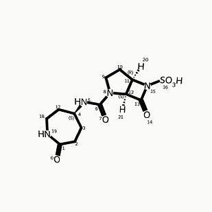 O=C1CC[C@H](NC(=O)N2CC[C@@H]3[C@H]2C(=O)N3S(=O)(=O)O)CCN1